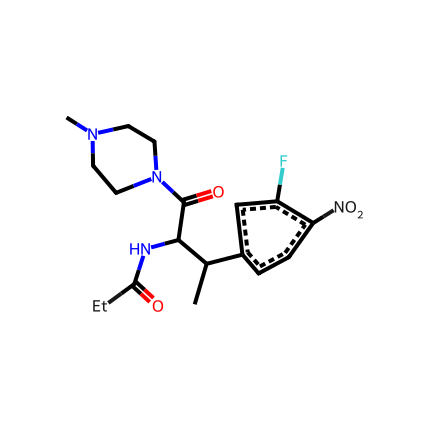 CCC(=O)NC(C(=O)N1CCN(C)CC1)C(C)c1ccc([N+](=O)[O-])c(F)c1